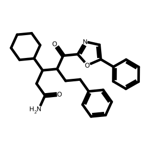 NC(=O)CC(C1CCCCC1)C(CCc1ccccc1)C(=O)c1ncc(-c2ccccc2)o1